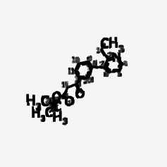 CCc1ncccc1-c1cccc(C(=O)CC(=O)OC(C)(C)C)c1